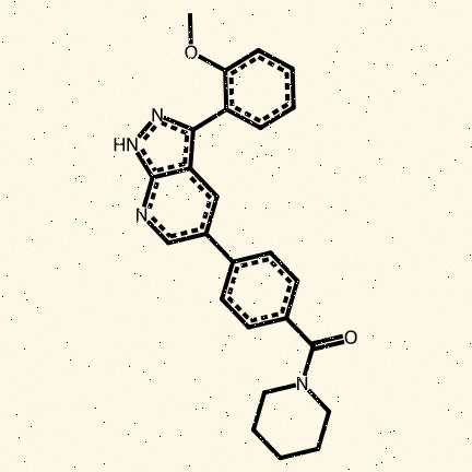 COc1ccccc1-c1n[nH]c2ncc(-c3ccc(C(=O)N4CCCCC4)cc3)cc12